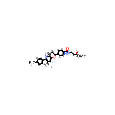 COC(=O)CCNC(=O)c1ccc(C(CC(C)(C)C)Oc2cnc(-c3ccc(C(F)(F)F)cc3)c(C)c2)cc1